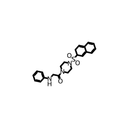 O=C(CNc1ccccc1)N1CCN(S(=O)(=O)C2C=c3ccccc3=CC2)CC1